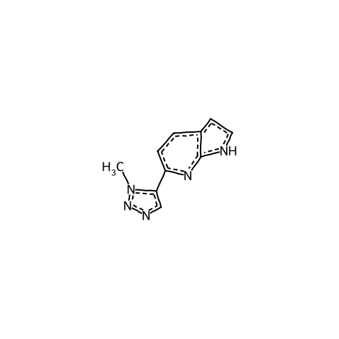 Cn1nncc1-c1ccc2cc[nH]c2n1